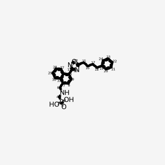 O=P(O)(O)CNCc1ccc(-c2noc(CCCCc3ccccc3)n2)c2ccccc12